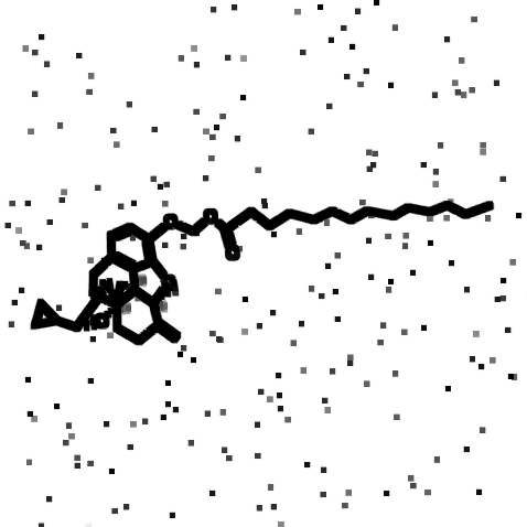 C=C1CC[C@@]2(O)C3Cc4ccc(OCOC(=O)CCCCCCCCCCCCC)c5c4[C@@]2(CCN3CC2CC2)[C@H]1O5